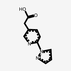 O=C(O)Cc1ccc(-n2cccn2)nc1